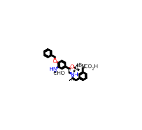 C[C@H](Cc1cccc(CC(=O)O)c1)NC[C@H](O[Si](C)(C)C(C)(C)C)c1ccc(OCc2ccccc2)c(NC=O)c1